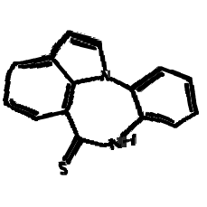 S=C1Nc2ccccc2-n2ccc3cccc1c32